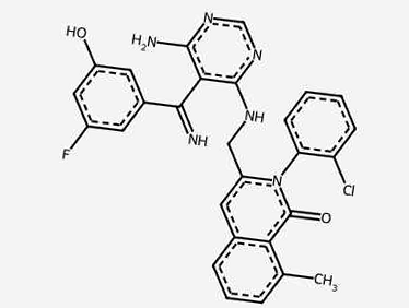 Cc1cccc2cc(CNc3ncnc(N)c3C(=N)c3cc(O)cc(F)c3)n(-c3ccccc3Cl)c(=O)c12